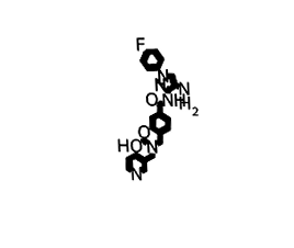 Nc1cn(-c2ccc(F)cc2)nc1NC(=O)c1ccc(CN(Cc2cccnc2)C(=O)O)cc1